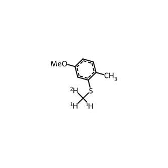 [1H]C([1H])([2H])Sc1cc(OC)ccc1C